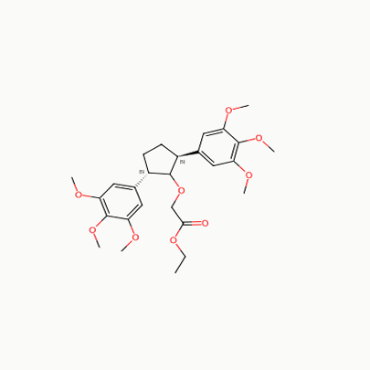 CCOC(=O)COC1[C@H](c2cc(OC)c(OC)c(OC)c2)CC[C@H]1c1cc(OC)c(OC)c(OC)c1